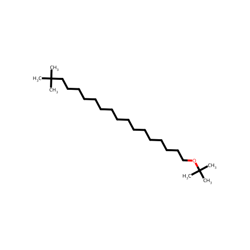 CC(C)(C)CCCCCCCCCCCCCCCCOC(C)(C)C